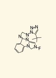 CC(C)(C)c1cnnn1N1CN=C2c3ccccc3N3CN(F)C=C3N21